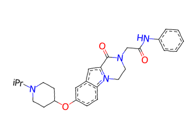 CC(C)N1CCC(Oc2ccc3c(c2)cc2n3CCN(CC(=O)Nc3ccccc3)C2=O)CC1